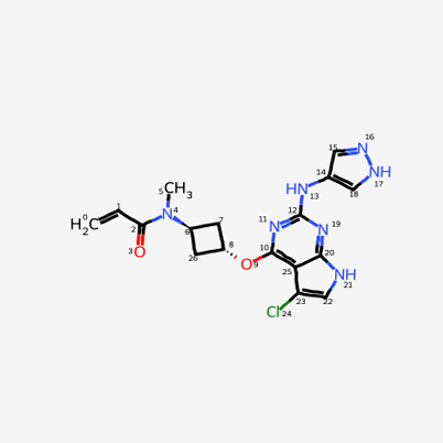 C=CC(=O)N(C)[C@H]1C[C@H](Oc2nc(Nc3cn[nH]c3)nc3[nH]cc(Cl)c23)C1